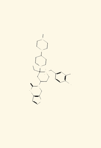 CN1CCN(C2CCN(C3(CC=O)CC(N4Cc5sccc5NC4=O)CC[N@+]3(Cc3ccc(Br)c(Br)c3)C(=O)[O-])CC2)CC1